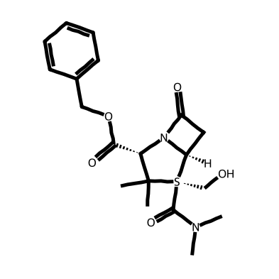 CN(C)C(=O)[S@]1(CO)[C@@H]2CC(=O)N2[C@@H](C(=O)OCc2ccccc2)C1(C)C